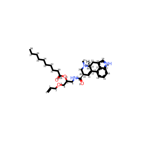 C=CCOCC(CNC(=O)[C@@H]1C=C2c3cccc4[nH]cc(c34)C[C@H]2N(C)C1)OC(=O)CCCCCCCCC